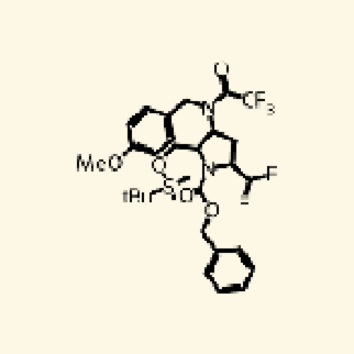 COc1ccc(CN(C(=O)C(F)(F)F)C2CC(C(F)F)N(C(=O)OCc3ccccc3)C2CO[Si](C)(C)C(C)(C)C)cc1